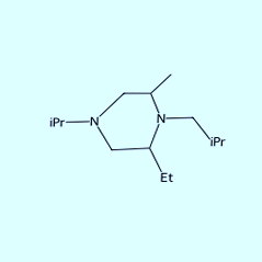 CCC1CN(C(C)C)CC(C)N1CC(C)C